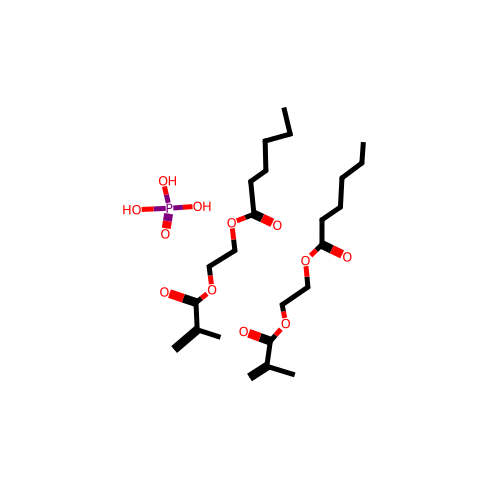 C=C(C)C(=O)OCCOC(=O)CCCCC.C=C(C)C(=O)OCCOC(=O)CCCCC.O=P(O)(O)O